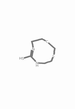 S/C1=N\CCCCCCCN1